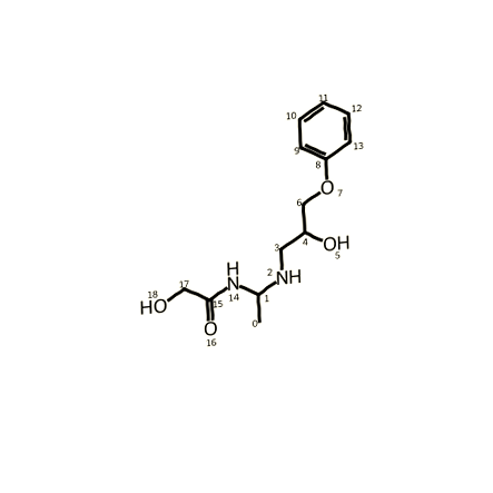 CC(NCC(O)COc1ccccc1)NC(=O)CO